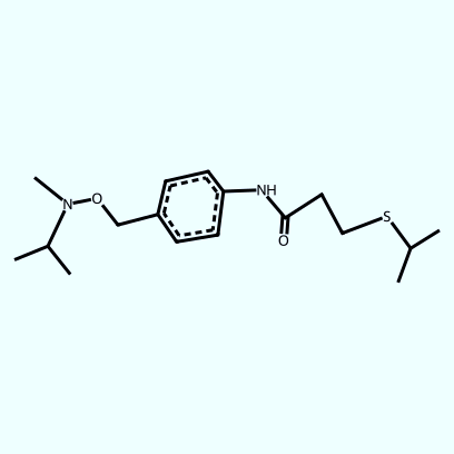 CC(C)SCCC(=O)Nc1ccc(CON(C)C(C)C)cc1